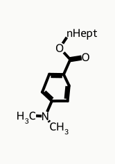 CCCCCCCOC(=O)c1ccc(N(C)C)cc1